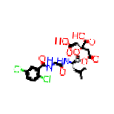 CC(C)C[C@H](NC(=O)CNC(=O)c1cc(Cl)ccc1Cl)B1OC(=O)C[C@@](CC(=O)O)(C(=O)O)O1